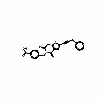 O=C(O)c1ccc(CN2C(=O)Cc3sc(C#CCc4ccccc4)cc3C2=O)cc1